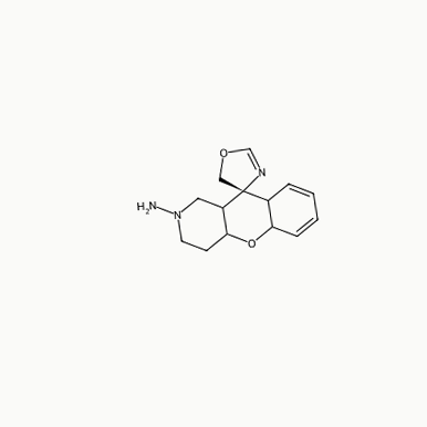 NN1CCC2OC3C=CC=CC3[C@]3(COC=N3)C2C1